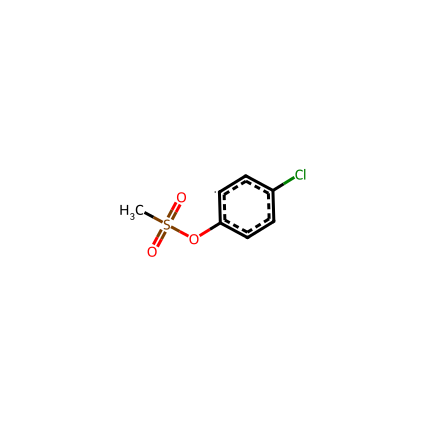 CS(=O)(=O)Oc1[c]cc(Cl)cc1